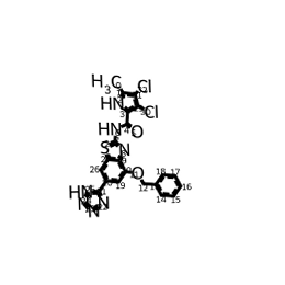 Cc1[nH]c(C(=O)Nc2nc3c(OCc4ccccc4)cc(-c4nnn[nH]4)cc3s2)c(Cl)c1Cl